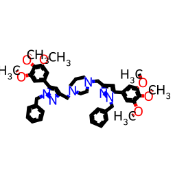 COc1cc(-c2cc(CN3CCCN(Cc4cc(-c5cc(OC)c(OC)c(OC)c5)n(Cc5ccccc5)n4)CC3)nn2Cc2ccccc2)cc(OC)c1OC